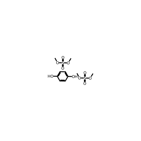 COS(=O)(=O)OC.COS(=O)(=O)OC.Oc1ccc(O)cc1